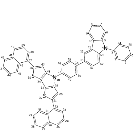 c1ccc(-n2c3ccccc3c3cc(-c4ccc(-n5c6cc(-c7cccc8ccccc78)sc6c6sc(-c7cccc8ccccc78)cc65)cc4)ccc32)cc1